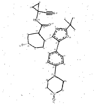 CC(C)(C)c1nc([C@@H]2CC[C@H](F)CC2C(=O)NC2(C#N)CC2)c(-c2ccc(N3CC[S+]([O-])CC3)cc2)o1